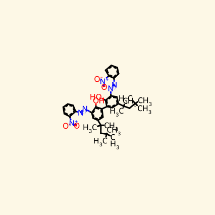 CC(C)(C)CC(C)(C)c1cc(/N=N/c2ccccc2[N+](=O)[O-])c(O)c(-c2cc(C(C)(C)CC(C)(C)C)cc(/N=N/c3ccccc3[N+](=O)[O-])c2O)c1